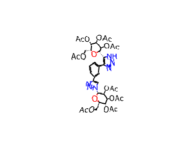 CC(=O)OC[C@H]1O[C@@H](c2[nH]nnc2-c2cccc(-c3cn([C@H]4O[C@H](COC(C)=O)[C@@H](OC(C)=O)[C@H](OC(C)=O)[C@@H]4OC(C)=O)nn3)c2)[C@H](OC(C)=O)[C@H](OC(C)=O)[C@@H]1OC(C)=O